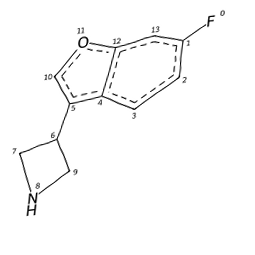 Fc1ccc2c(C3CNC3)coc2c1